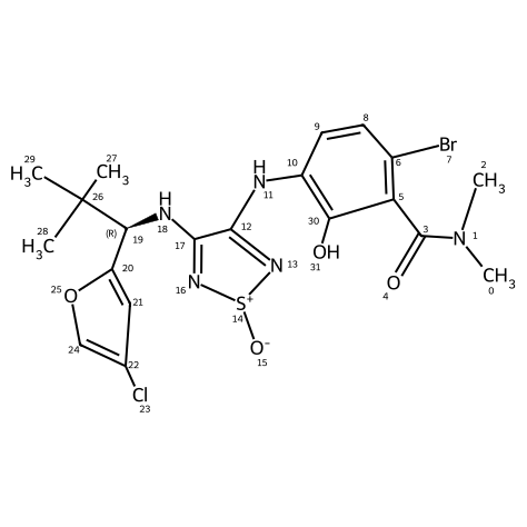 CN(C)C(=O)c1c(Br)ccc(Nc2n[s+]([O-])nc2N[C@@H](c2cc(Cl)co2)C(C)(C)C)c1O